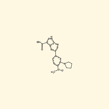 C[S+]([O-])c1ccc(-c2cnc3[nH]cc(C(=O)C(C)(C)C)c3n2)cc1N1CCCC1